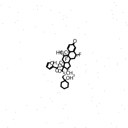 C[C@@H]1CC2C3C[C@H](F)C4=CC(=O)C=C[C@]4(C)[C@@]3(F)[C@@H](O)C[C@]2(C)[C@@]1(OC(=O)c1ccco1)C(=O)SCC1(O)CCCCC1